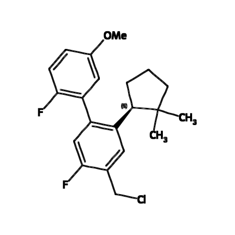 COc1ccc(F)c(-c2cc(F)c(CCl)cc2[C@H]2CCCC2(C)C)c1